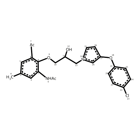 CC(=O)Nc1cc(C)cc(C(C)=O)c1OCC(O)Cn1ccc(Oc2ccc(Cl)cc2)c1